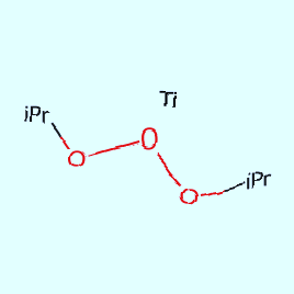 CC(C)OOOC(C)C.[Ti]